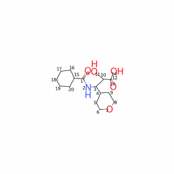 O=C(NC(C1CCOCC1)C(O)C(=O)O)C1CCCCC1